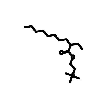 CCCCCCCCC(CC)C(=O)OCC[Si](C)(C)C